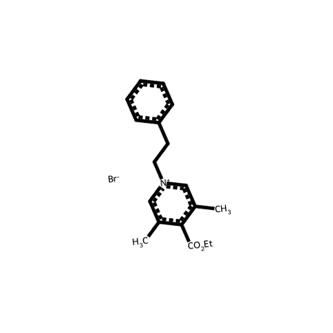 CCOC(=O)c1c(C)c[n+](CCc2ccccc2)cc1C.[Br-]